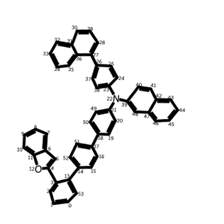 c1ccc(-c2cc3ccccc3o2)c(-c2ccc(-c3ccc(N(c4ccc(-c5cccc6ccccc56)cc4)c4ccc5ccccc5c4)cc3)cc2)c1